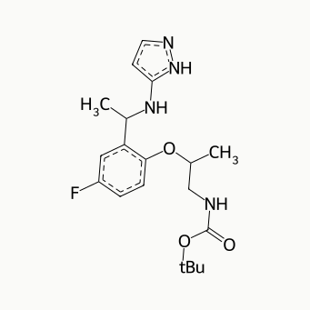 CC(CNC(=O)OC(C)(C)C)Oc1ccc(F)cc1C(C)Nc1ccn[nH]1